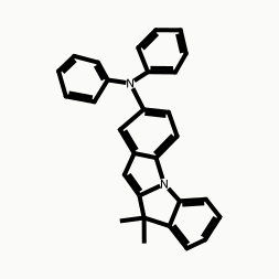 CC1(C)c2ccccc2-n2c1cc1cc(N(c3ccccc3)c3ccccc3)ccc12